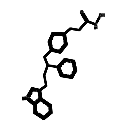 O=C(CCc1ccc(CN(CCc2c[nH]c3ccccc23)c2ccccc2)cc1)NO